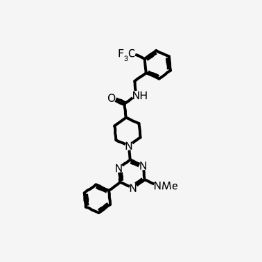 CNc1nc(-c2ccccc2)nc(N2CCC(C(=O)NCc3ccccc3C(F)(F)F)CC2)n1